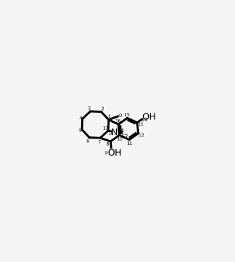 CC12CCCCCC(C(O)c3ccc(O)cc31)C2N